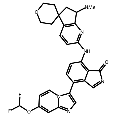 CNC1CC2(CCOCC2)c2ccc(Nc3ccc(-c4cnc5cc(OC(F)F)ccn45)c4c3C(=O)N=C4)nc21